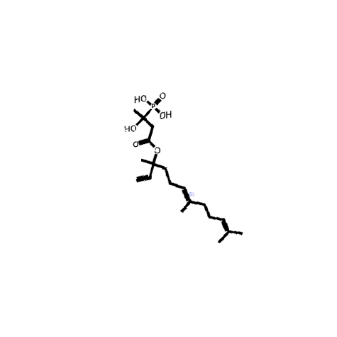 C=CC(C)(CC/C=C(\C)CCC=C(C)C)OC(=O)CC(C)(O)P(=O)(O)O